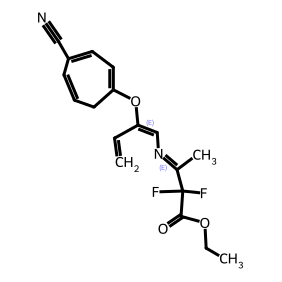 C=C/C(=C\N=C(/C)C(F)(F)C(=O)OCC)OC1=CC=C(C#N)C=CC1